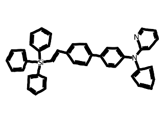 C(=C\[Si](c1ccccc1)(c1ccccc1)c1ccccc1)/c1ccc(-c2ccc(N(c3ccccc3)c3ccccn3)cc2)cc1